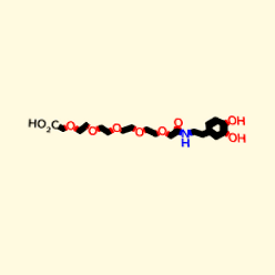 O=C(O)COCCOCCOCCOCCOCC(=O)NCCc1ccc(O)c(O)c1